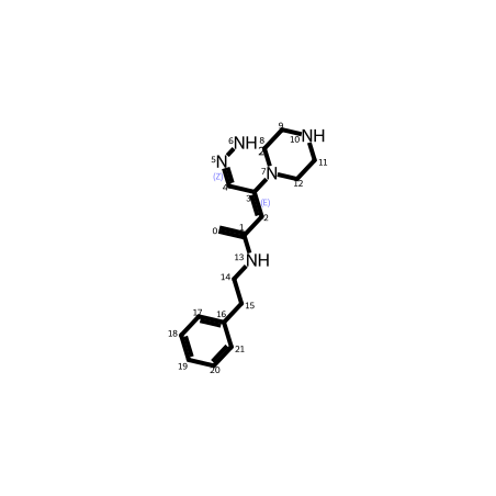 C=C(/C=C(\C=N/N)N1CCNCC1)NCCc1ccccc1